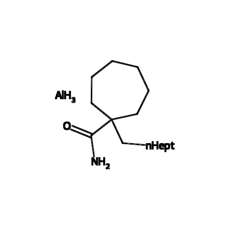 CCCCCCCCC1(C(N)=O)CCCCCC1.[AlH3]